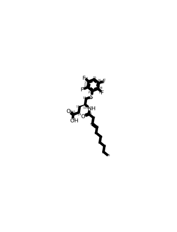 CCCCCCC=CCC(=O)N[C@@H](CCC(=O)O)CSc1c(F)c(F)cc(F)c1F